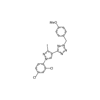 COc1ccc(Cn2nnc(-c3cn(-c4ccc(Cl)cc4Cl)nc3I)n2)cc1